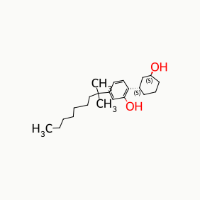 CCCCCCCC(C)(C)c1ccc([C@H]2CCC[C@H](O)C2)c(O)c1